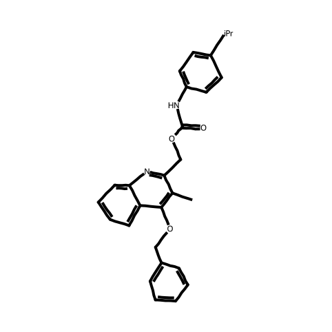 Cc1c(COC(=O)Nc2ccc(C(C)C)cc2)nc2ccccc2c1OCc1ccccc1